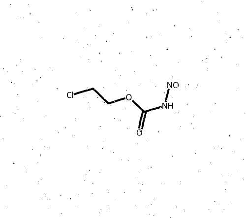 O=NNC(=O)OCCCl